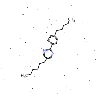 CCCCCCc1cnc(-c2ccc(CCCCC)cc2)nc1